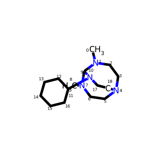 CN1CCN2CCN(C)C1N(C1CCCCC1)CC2